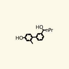 CCCC(O)c1cccc(-c2ccc(O)cc2C)c1